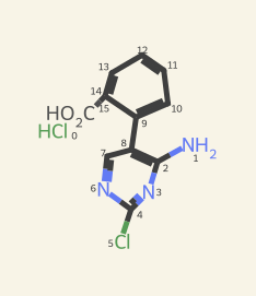 Cl.Nc1nc(Cl)ncc1-c1ccccc1C(=O)O